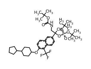 CC(C)(C)OC(=O)NCC(C)(OP(=O)(OC(C)(C)C)OC(C)(C)C)c1ccc2c(C(F)(F)F)c(OC3CCC(C4CCCC4)CC3)ccc2c1